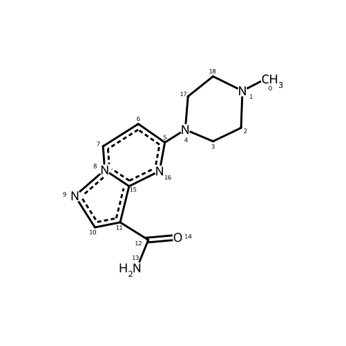 CN1CCN(c2ccn3ncc(C(N)=O)c3n2)CC1